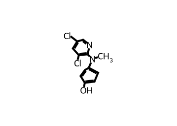 CN(c1ccc(O)cc1)c1ncc(Cl)cc1Cl